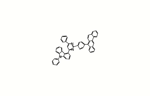 c1ccc(-c2cc(-c3cccc4c3c3ccccc3n4-c3ccccc3)nc(-c3ccc(-c4c5ccccc5cc5c4ccc4ccccc45)cc3)n2)cc1